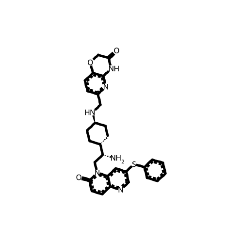 N[C@H](Cn1c(=O)ccc2ncc(Sc3ccccc3)cc21)[C@H]1CC[C@H](NCc2ccc3c(n2)NC(=O)CO3)CC1